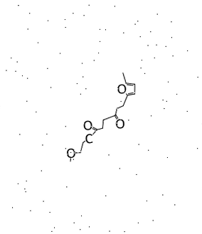 COCCCC(=O)CCC(=O)CCc1ccc(C)o1